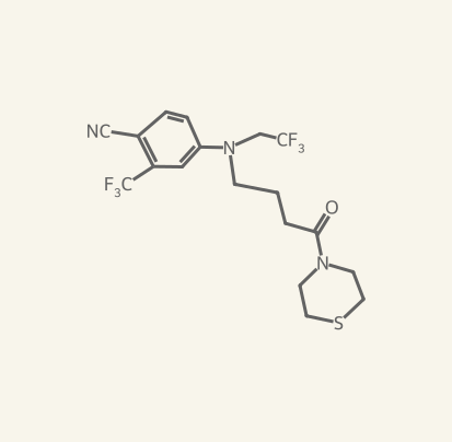 N#Cc1ccc(N(CCCC(=O)N2CCSCC2)CC(F)(F)F)cc1C(F)(F)F